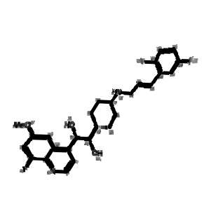 COc1cc(F)c2nccc([C@@H](O)[C@H](O)[C@H]3CC[C@H](NC/C=C/c4cc(F)ccc4F)CC3)c2c1